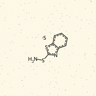 NSc1nc2ccccc2s1.[S]